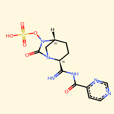 N=C(NC(=O)c1ccncn1)[C@@H]1CC[C@@H]2CN1C(=O)N2OS(=O)(=O)O